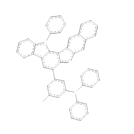 Clc1cc(-c2cc3c4ccccc4n(-c4ccccc4)c3c3c2sc2cc4ccccc4cc23)cc(N(c2ccccc2)c2ccccc2)c1